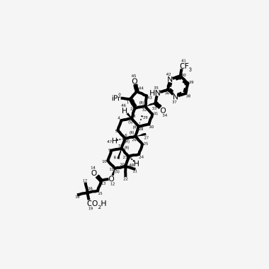 CC(C)C1=C2[C@H]3CC[C@@H]4[C@@]5(C)CC[C@H](OC(=O)CC(C)(C)C(=O)O)C(C)(C)[C@@H]5CC[C@@]4(C)[C@]3(C)CC[C@@]2(C(=O)Nc2nccc(C(F)(F)F)n2)CC1=O